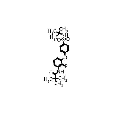 CC(C)(C)NS(=O)(=O)c1ccc(Oc2cccc(NC(=O)C(C)(C)C)c2F)cc1